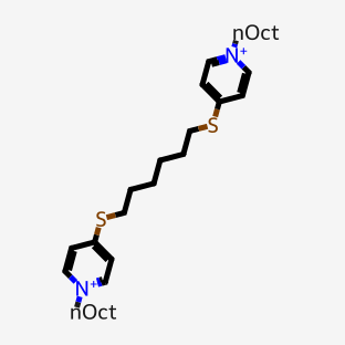 CCCCCCCC[n+]1ccc(SCCCCCCSc2cc[n+](CCCCCCCC)cc2)cc1